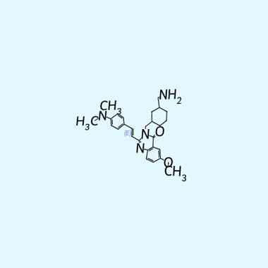 COc1ccc2nc(/C=C/c3ccc(N(C)C)cc3)n(CC3CCCC(CN)C3)c(=O)c2c1